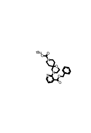 CC(C)(C)OC(=O)N1CCC2(CC1)CN(c1ncccc1C(=O)OCc1ccccc1)CCO2